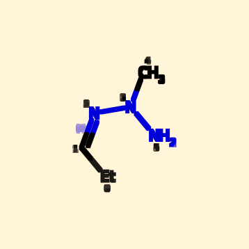 CC/C=N\N(C)N